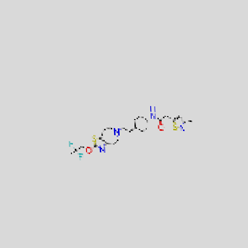 Cc1cc(CC(=O)N[C@H]2CC[C@H](CCN3CCc4nc(OCC(C)(F)F)sc4CC3)CC2)sn1